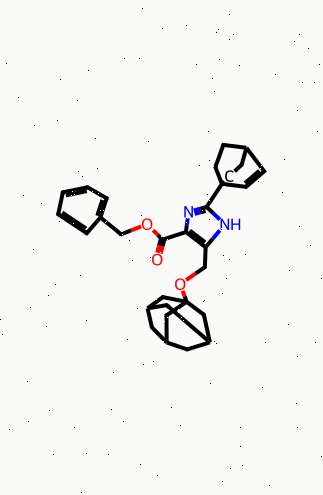 O=C(OCc1ccccc1)c1nc(C23C=CC(CC2)CC3)[nH]c1COC12CC3CC(CC(C3)C1)C2